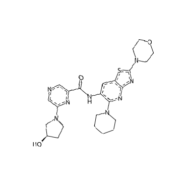 O=C(Nc1cc2sc(N3CCOCC3)nc2nc1N1CCCCC1)c1cncc(N2CC[C@@H](O)C2)n1